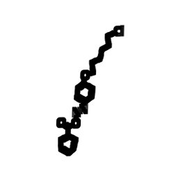 O=C(ON=Nc1ccc(OCCCCCCCl)cc1)c1ccccc1